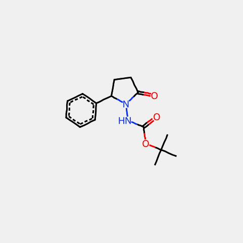 CC(C)(C)OC(=O)NN1C(=O)CCC1c1ccccc1